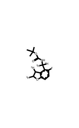 [2H]C1Oc2ccc(F)c(C([2H])([2H])NC(=O)OC(C)(C)C)c2C1[2H]